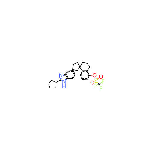 O=S(=O)(Oc1ccc(-c2ccc3nc(C4CCCC4)[nH]c3c2)c2c1CCCC21CCCC1)C(F)(F)F